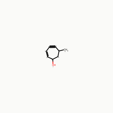 CC1C#CC=CC(O)C1